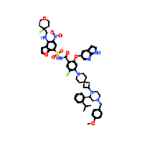 COc1ccc(CN2CCN(C3CC4(CCN(c5cc(Oc6cnc7[nH]ccc7c6)c(C(=O)NS(=O)(=O)c6cc([N+](=O)[O-])c(NCC7(F)CCOCC7)c7ccoc67)cc5F)CC4)C3)C(c3ccccc3C(C)C)C2)cc1